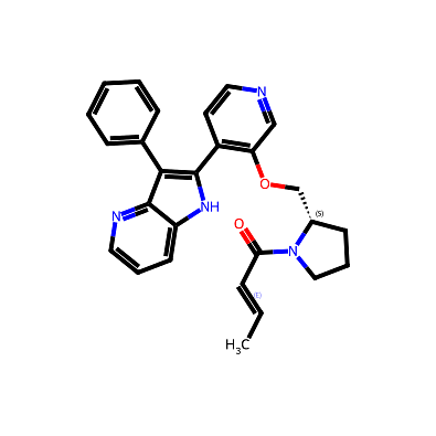 C/C=C/C(=O)N1CCC[C@H]1COc1cnccc1-c1[nH]c2cccnc2c1-c1ccccc1